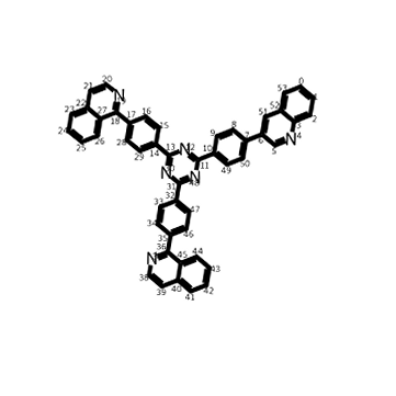 c1ccc2ncc(-c3ccc(-c4nc(-c5ccc(-c6nccc7ccccc67)cc5)nc(-c5ccc(-c6nccc7ccccc67)cc5)n4)cc3)cc2c1